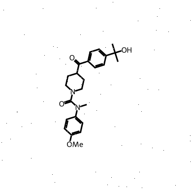 COc1ccc(N(C)C(=O)N2CCC(C(=O)c3ccc(C(C)(C)O)cc3)CC2)cc1